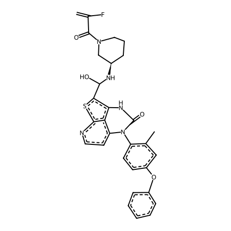 C=C(F)C(=O)N1CCC[C@@H](NC(O)c2sc3nccc4c3c2NC(=O)N4c2ccc(Oc3ccccc3)cc2C)C1